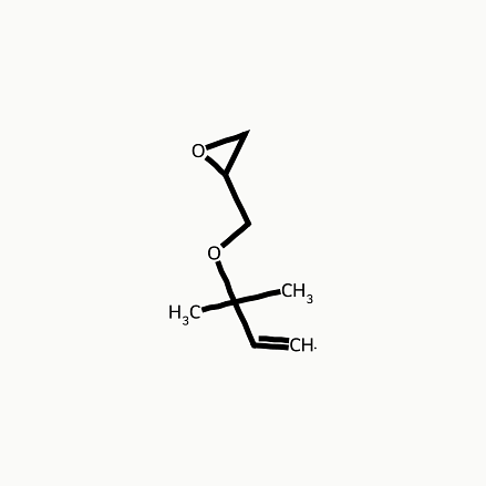 [CH]=CC(C)(C)OCC1CO1